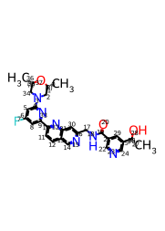 C[C@@H]1CN(c2cc(F)cc(-c3ccc4cnc(CNC(=O)c5cncc([C@@H](C)O)c5)cc4n3)n2)C[C@H](C)O1